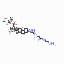 CCN(CC)C(=O)CC[C@@H](C)[C@H]1CCC2C3CCC4C[C@@H](NCCCNCCCCNCCCN)CC[C@]4(C)C3CC[C@@]21C